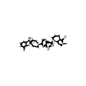 Cn1ccc2c(c1=O)CCCN2c1n[nH]c2nc(N3CCC4(CC3)Oc3c(F)cccc3[C@H]4N)cnc12